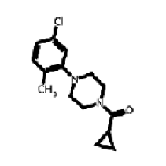 Cc1ccc(Cl)cc1N1CCN(C(=O)C2CC2)CC1